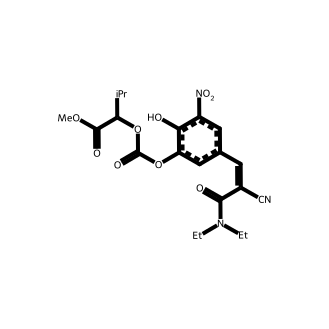 CCN(CC)C(=O)C(C#N)=Cc1cc(OC(=O)OC(C(=O)OC)C(C)C)c(O)c([N+](=O)[O-])c1